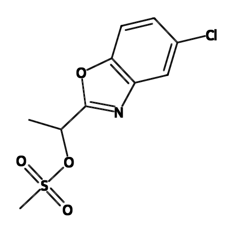 CC(OS(C)(=O)=O)c1nc2cc(Cl)ccc2o1